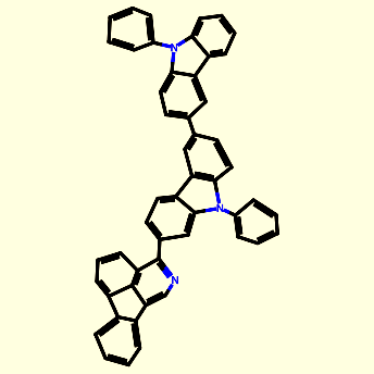 c1ccc(-n2c3ccccc3c3cc(-c4ccc5c(c4)c4ccc(-c6ncc7c8c(cccc68)-c6ccccc6-7)cc4n5-c4ccccc4)ccc32)cc1